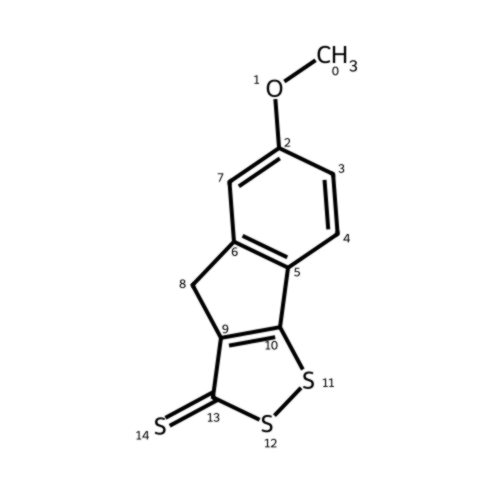 COc1ccc2c(c1)Cc1c-2ssc1=S